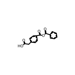 O=C(O)Cc1ccc(C(=O)OC(=O)c2ccccc2)cc1